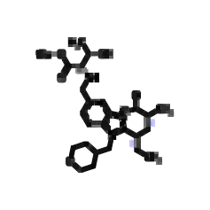 C/C=C(\C=C(\C)C(=O)C(C)C)c1nc2cc(CN[C@H](C(=O)OC(C)(C)C)C(C)O)ccc2n1CC1CCOCC1